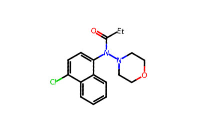 CCC(=O)N(c1ccc(Cl)c2ccccc12)N1CCOCC1